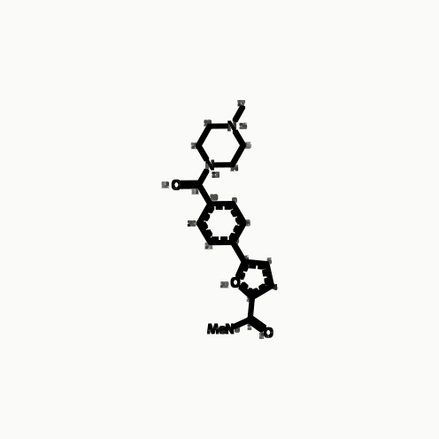 CNC(=O)c1ccc(-c2ccc(C(=O)N3CCN(C)CC3)cc2)o1